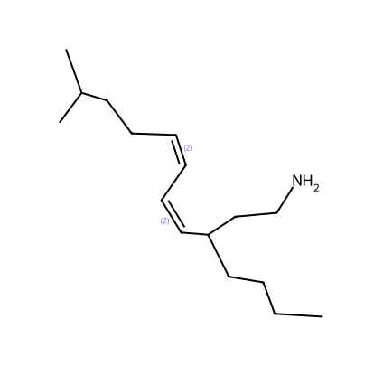 CCCCC(/C=C\C=C/CCC(C)C)CCN